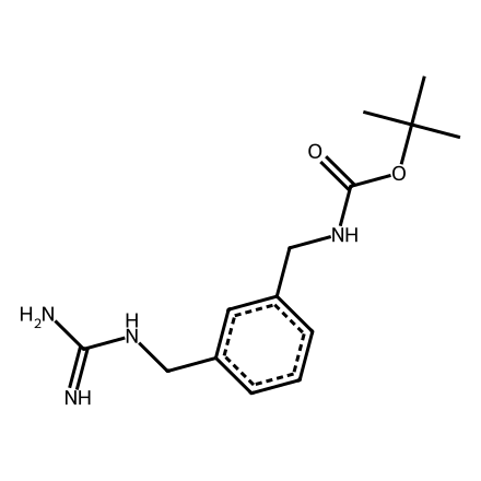 CC(C)(C)OC(=O)NCc1cccc(CNC(=N)N)c1